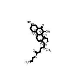 C=CCOC(=O)CC[C@@H](C)[C@H]1CC[C@H]2[C@@H]3[C@H](O)C(=O)C4C[C@H](O)CC[C@]4(C)[C@H]3CC[C@]12C